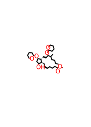 CCCCC(C)[C@@H](/C=C/[C@@H]1[C@@H](C/C=C\CCCC(=O)OC)[C@@H](O)C[C@H]1OC1CCCCO1)OC1CCCCO1